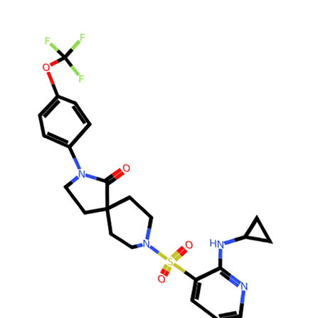 O=C1N(c2ccc(OC(F)(F)F)cc2)CCC12CCN(S(=O)(=O)c1cccnc1NC1CC1)CC2